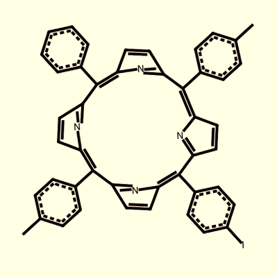 Cc1ccc(C2=C3C=CC(=N3)C(c3ccc(I)cc3)=C3C=CC(=N3)C(c3ccc(C)cc3)=C3C=CC(=N3)C(c3ccccc3)=C3C=CC2=N3)cc1